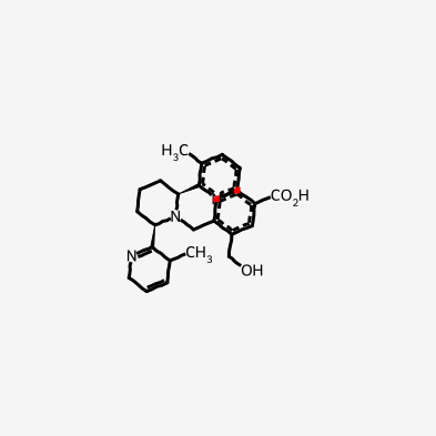 Cc1cccnc1[C@@H]1CCC[C@H](C2=NCC=CC2C)N1Cc1ccc(C(=O)O)cc1CO